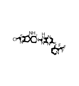 N[C@@H]1c2sc(Cl)nc2CC12CCN(c1nc3nc(Sc4cccnc4C(F)(F)F)cnc3[nH]1)CC2